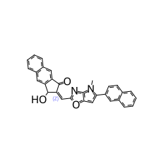 Cn1c(-c2ccc3ccccc3c2)cc2oc(/C=C3\C(=O)c4cc5ccccc5cc4C3O)nc21